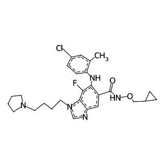 Cc1cc(Cl)ccc1Nc1c(C(=O)NOCC2CC2)cc2ncn(CCCCN3CCCC3)c2c1F